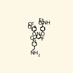 CCOC(=N)c1ccc(Oc2nc(Oc3cccc(OC(F)(F)F)c3)c(C(=O)N3CCC(CCN)CC3)cc2F)cc1